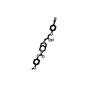 COc1ccc(OC(=O)N2CC3CC(CN(CC(O)COc4ccc(C#N)cc4)C3)C2)cc1